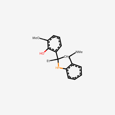 CCC(C)(Pc1ccccc1CNC)c1cccc(OC)c1O